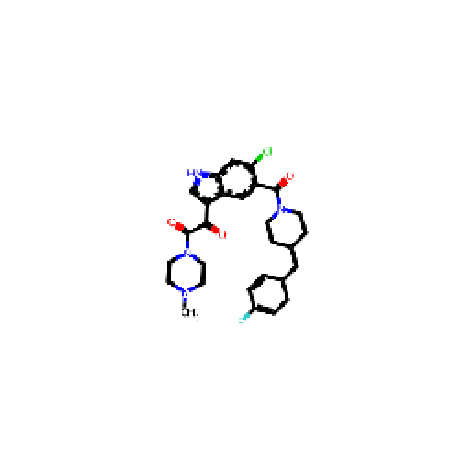 CN1CCN(C(=O)C(=O)c2c[nH]c3cc(Cl)c(C(=O)N4CCC(CC5C=CC(F)=CC5)CC4)cc23)CC1